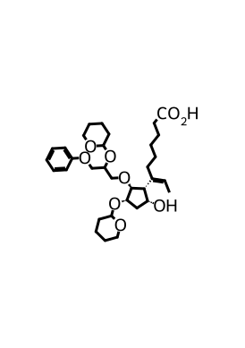 C/C=C(/CCCCCC(=O)O)[C@H]1[C@H](OCC(COc2ccccc2)OC2CCCCO2)[C@@H](OC2CCCCO2)C[C@H]1O